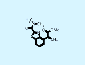 C=C(C(=O)OC)c1cccc2sc(C(=O)N(C)C)nc12